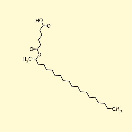 CCCCCCCCCCCCCCCCCCC(C)OC(=O)CCCCC(=O)O